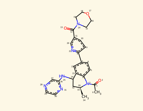 CC(=O)N1c2ccc(-c3ccc(C(=O)N4CCOCC4)cn3)cc2C(Nc2cnccn2)C[C@@H]1C